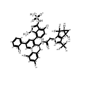 Cn1nc(NS(C)(=O)=O)c2c(Cl)ccc(-c3cc(-c4ccccc4Cl)cnc3[C@H](Cc3cc(F)cc(F)c3)NC(=O)Cn3nc(C(F)(F)F)c4c3C(F)(F)[C@@H]3C[C@H]43)c21